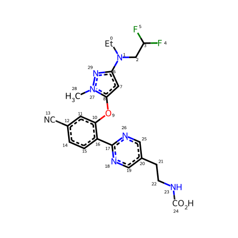 CCN(CC(F)F)c1cc(Oc2cc(C#N)ccc2-c2ncc(CCNC(=O)O)cn2)n(C)n1